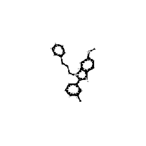 COc1ccc2nc(-c3cccc(C)c3)n(CCCc3ccccc3)c2c1